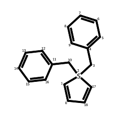 C1=CS(Cc2ccccc2)(Cc2ccccc2)C=C1